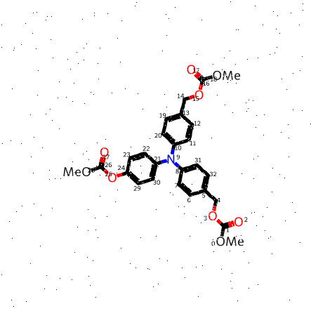 COC(=O)OCc1ccc(N(c2ccc(COC(=O)OC)cc2)c2ccc(OC(=O)OC)cc2)cc1